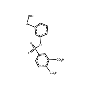 CCCCOc1cccc(OS(=O)(=O)c2ccc(C(=O)O)c(C(=O)O)c2)c1